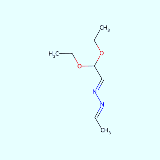 CC=NN=CC(OCC)OCC